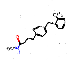 Cc1ccccc1Cc1ccc(CCCC(=O)NC(C)(C)C)cc1